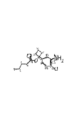 CCCCC(=O)OC1(c2ccc(Cl)c(N)c2)CCC1